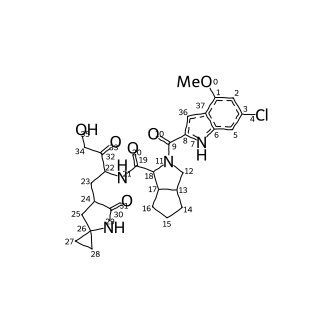 COc1cc(Cl)cc2[nH]c(C(=O)N3CC4CCCC4C3C(=O)NC(CC3CC4(CC4)NC3=O)C(=O)CO)cc12